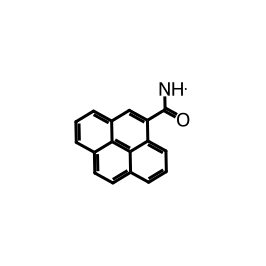 [NH]C(=O)c1cc2cccc3ccc4cccc1c4c32